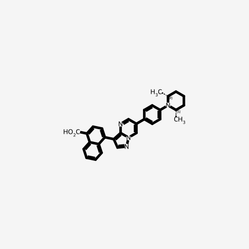 C[C@@H]1CCC[C@H](C)N1c1ccc(-c2cnc3c(-c4ccc(C(=O)O)c5ccccc45)cnn3c2)cc1